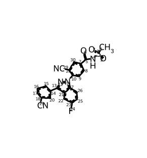 CS(=O)(=O)NC(=O)c1ccc(-n2nc(-c3cccc(C#N)c3)c3cc(F)ccc32)c(C#N)c1